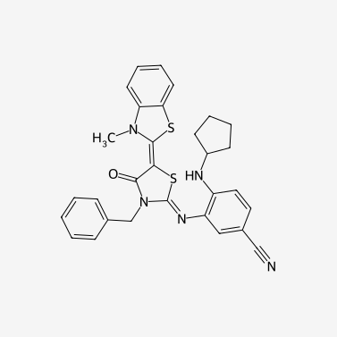 CN1/C(=C2/S/C(=N\c3cc(C#N)ccc3NC3CCCC3)N(Cc3ccccc3)C2=O)Sc2ccccc21